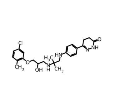 Cc1ccc(Cl)cc1OCC(O)CNC(C)(C)CNc1ccc(C2=NNC(=O)CC2)cc1